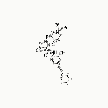 Cc1cc(C#Cc2ccccc2)cnc1NC(=O)c1c(Cl)cnn1C[C@@H]1CCN(C(=O)C(C)C)C[C@@H]1F